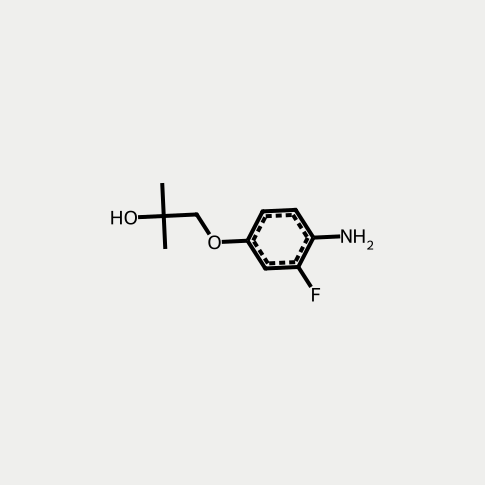 CC(C)(O)COc1ccc(N)c(F)c1